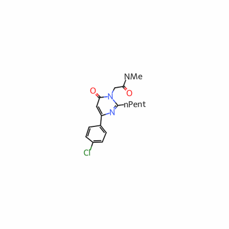 CCCCCc1nc(-c2ccc(Cl)cc2)cc(=O)n1CC(=O)NC